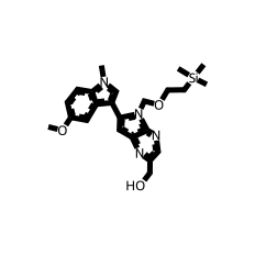 COc1ccc2c(c1)c(-c1cc3nc(CO)cnc3n1COCC[Si](C)(C)C)cn2C